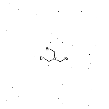 Br[CH2][Zr]([CH2]Br)[CH2]Br